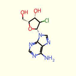 Nc1ncnc2c1ncn2[C@@H]1O[C@H](CO)[C@H](O)C1Cl